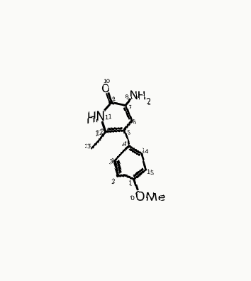 COc1ccc(-c2cc(N)c(=O)[nH]c2C)cc1